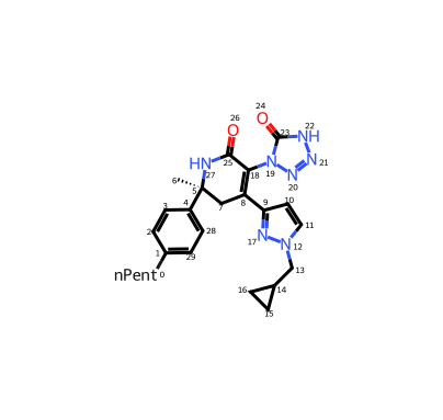 CCCCCc1ccc([C@]2(C)CC(c3ccn(CC4CC4)n3)=C(n3nn[nH]c3=O)C(=O)N2)cc1